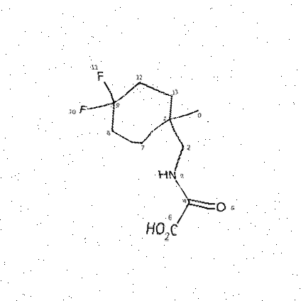 CC1(CNC(=O)C(=O)O)CCC(F)(F)CC1